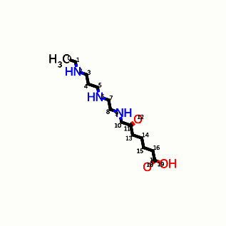 CCNCCCNCCNCC(=O)CCCCC(=O)O